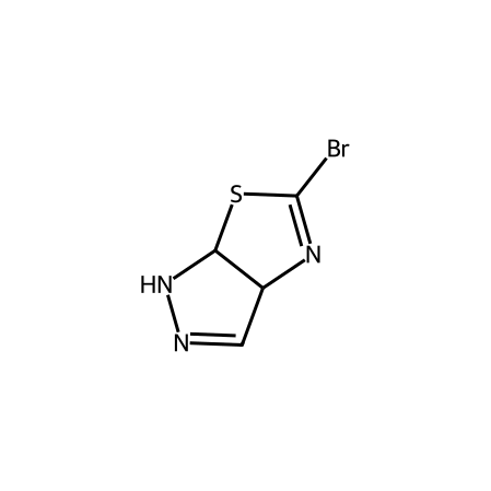 BrC1=NC2C=NNC2S1